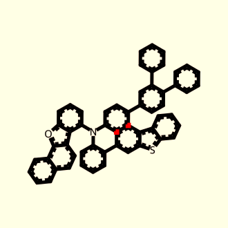 c1ccc(-c2ccc(-c3ccc(N(c4ccccc4-c4ccc5c(c4)sc4ccccc45)c4cccc5oc6c7ccccc7ccc6c45)cc3)cc2-c2ccccc2)cc1